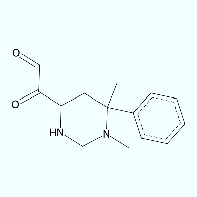 CN1CNC(C(=O)C=O)CC1(C)c1ccccc1